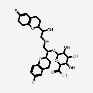 O=C(O)C1OC(OC(CNCC(O)C2CCC3=C(CCC(F)=C3)O2)C2CCc3cc(F)ccc3O2)C(O)C(O)C1O